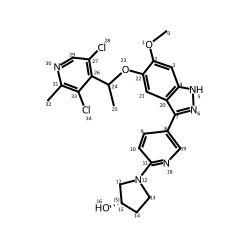 COc1cc2[nH]nc(-c3ccc(N4CC[C@H](O)C4)nc3)c2cc1OC(C)c1c(Cl)cnc(C)c1Cl